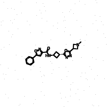 CN1CC(c2nnc([C@H]3C[C@H](NC(=O)c4cc(-c5ccccc5)on4)C3)o2)C1